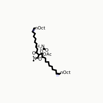 CCCCCCCC/C=C\CCCCCCCC(=O)C(CN(C)C)C(OC(C)=O)(OC(N)=O)C(=O)CCCCCCC/C=C\CCCCCCCC